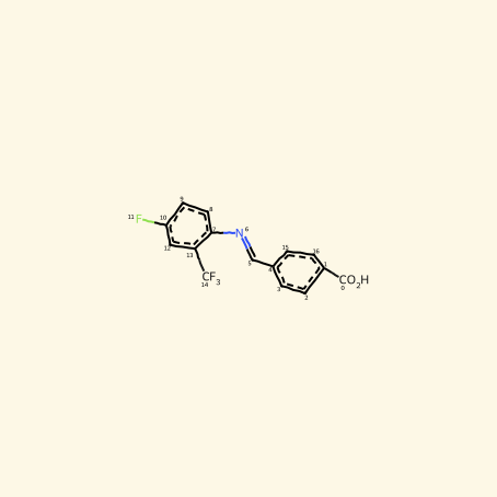 O=C(O)c1ccc(C=Nc2ccc(F)cc2C(F)(F)F)cc1